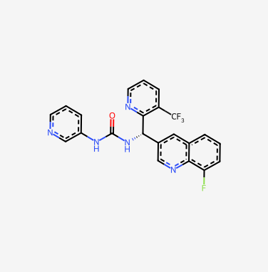 O=C(Nc1cccnc1)N[C@@H](c1cnc2c(F)cccc2c1)c1ncccc1C(F)(F)F